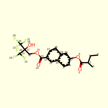 CCC(C)C(=O)Oc1ccc2cc(C(=O)OCC(O)(C(F)(F)F)C(F)(F)F)ccc2c1